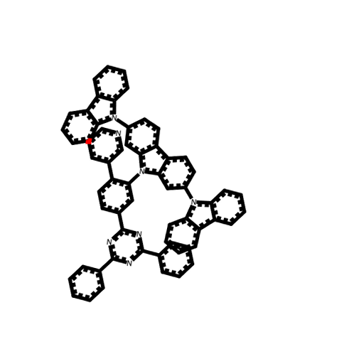 c1ccc(-c2nc(-c3ccccc3)nc(-c3ccc(-c4cccnc4)c(-n4c5cc(-n6c7ccccc7c7ccccc76)ccc5c5ccc(-n6c7ccccc7c7ccccc76)cc54)c3)n2)cc1